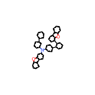 c1ccc(-c2cccc(N(c3ccc(-c4ccccc4-c4cccc5c4oc4ccccc45)cc3)c3ccc4c(c3)oc3ccccc34)c2)cc1